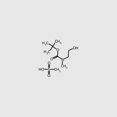 CN(CCO)C(=O)OC(C)(C)C.CS(=O)(=O)O